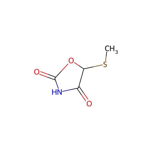 CSC1OC(=O)NC1=O